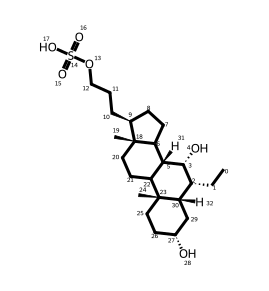 CC[C@H]1[C@@H](O)[C@H]2C3CC[C@H](CCCOS(=O)(=O)O)[C@@]3(C)CCC2[C@@]2(C)CC[C@@H](O)C[C@@H]12